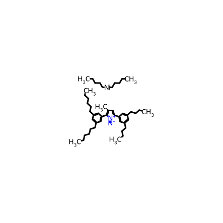 CCCCCCc1cc(CCCCCC)cc(C2=C(C)C=C(c3cc(CCCC)cc(CCCC)c3)[N+]2=[N-])c1.CCCC[CH2][Ni][CH2]CCCC